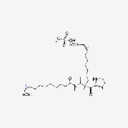 CCCCCCCC/C=C\CCCCCCCC(=O)NC(C)C(C)(CCCCCC/C=C\CCCCCCCC)C(=O)C1=NCCN1.COS(=O)(=O)O